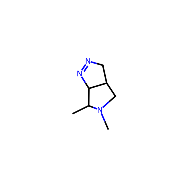 CC1C2N=NCC2CN1C